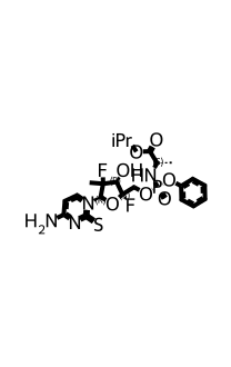 CC(C)OC(=O)[C@H](C)NP(=O)(OC[C@@]1(F)O[C@@H](n2ccc(N)nc2=S)C(C)(F)[C@H]1O)Oc1ccccc1